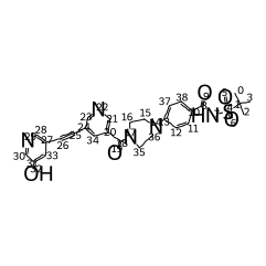 CC(C)(C)S(=O)(=O)NC(=O)c1ccc(N2CCN(C(=O)c3cncc(C#Cc4cncc(O)c4)c3)CC2)cc1